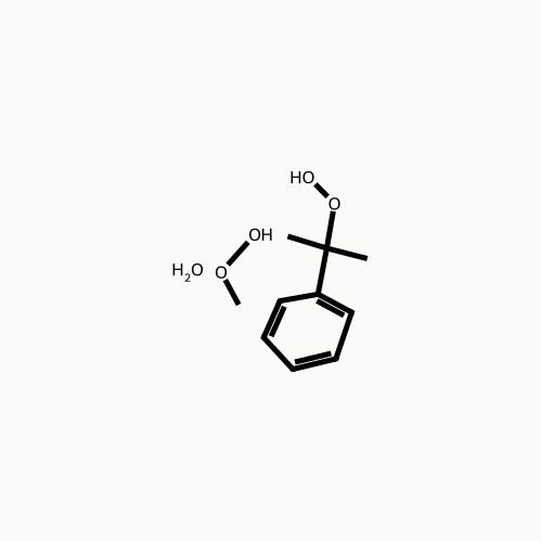 CC(C)(OO)c1ccccc1.COO.O